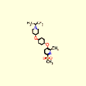 Cc1nc(S(C)(=O)=O)ccc1O[C@H]1CC[C@H](OC2CCN(C(C)C(F)(F)F)CC2)CC1